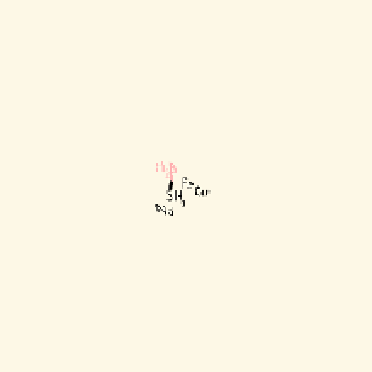 B[SiH3].[Cu].[Fe].[Nd]